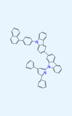 c1ccc(-c2cc(-c3ccccc3)nc(-n3c4ccccc4c4ccc(-c5ccc6c(c5)c5ccccc5n6-c5ccc(-c6cccc7ccccc67)cc5)cc43)c2)cc1